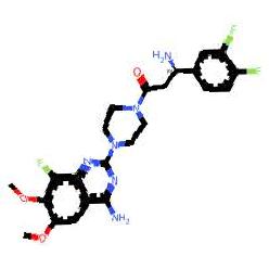 COc1cc2c(N)nc(N3CCN(C(=O)C[C@@H](N)c4ccc(F)c(F)c4)CC3)nc2c(F)c1OC